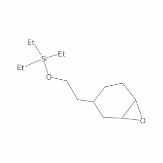 CC[Si](CC)(CC)OCCC1CCC2OC2C1